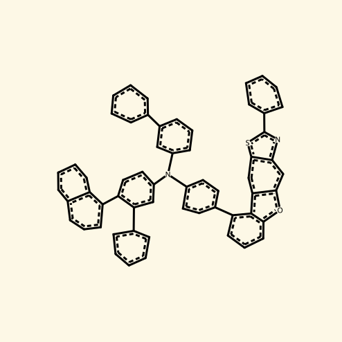 c1ccc(-c2cccc(N(c3ccc(-c4cccc5oc6cc7nc(-c8ccccc8)sc7cc6c45)cc3)c3ccc(-c4cccc5ccccc45)c(-c4ccccc4)c3)c2)cc1